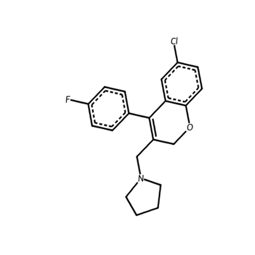 Fc1ccc(C2=C(CN3CCCC3)COc3ccc(Cl)cc32)cc1